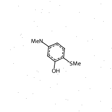 CNc1ccc(SC)c(O)c1